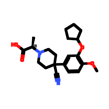 COc1ccc(C2(C#N)CCN([C@H](C)C(=O)O)CC2)cc1OC1CCCC1